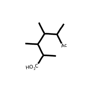 CC(=O)C(C)C(C)C(C)C(C)C(=O)O